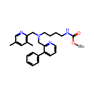 Cc1cnc(CN(CCCCNC(=O)OC(C)(C)C)Cc2ncccc2-c2ccccc2)c(C)c1